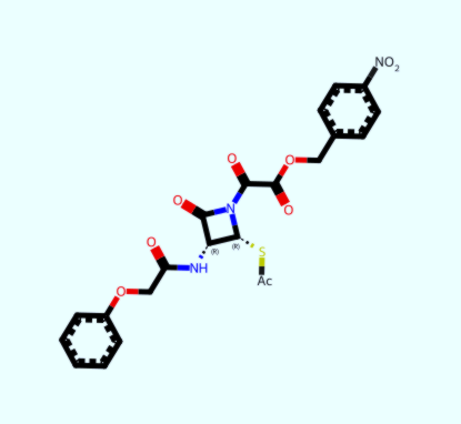 CC(=O)S[C@@H]1[C@H](NC(=O)COc2ccccc2)C(=O)N1C(=O)C(=O)OCc1ccc([N+](=O)[O-])cc1